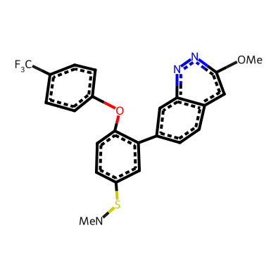 CNSc1ccc(Oc2ccc(C(F)(F)F)cc2)c(-c2ccc3cc(OC)nnc3c2)c1